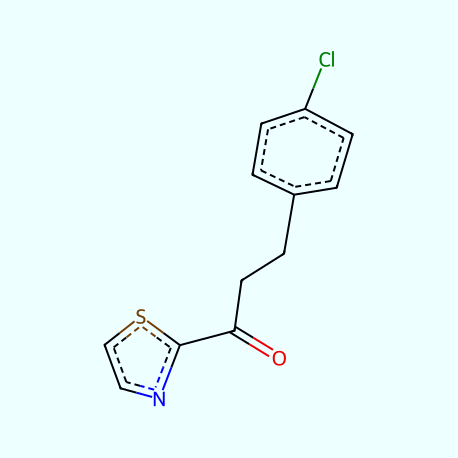 O=C(CCc1ccc(Cl)cc1)c1nccs1